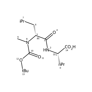 CCC[C@H](NC(=O)[C@@H](CC(C)C)N(C)C(=O)OC(C)(C)C)C(=O)O